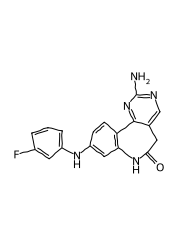 Nc1ncc2c(n1)-c1ccc(Nc3cccc(F)c3)cc1NC(=O)C2